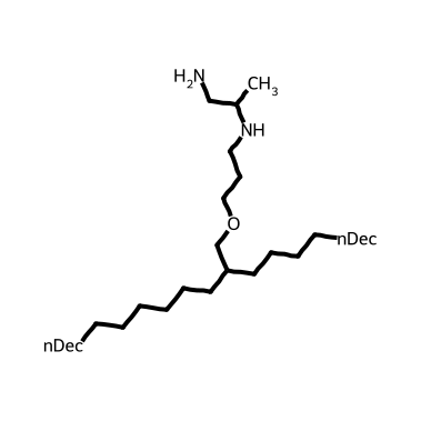 CCCCCCCCCCCCCCCCC(CCCCCCCCCCCCCC)COCCCNC(C)CN